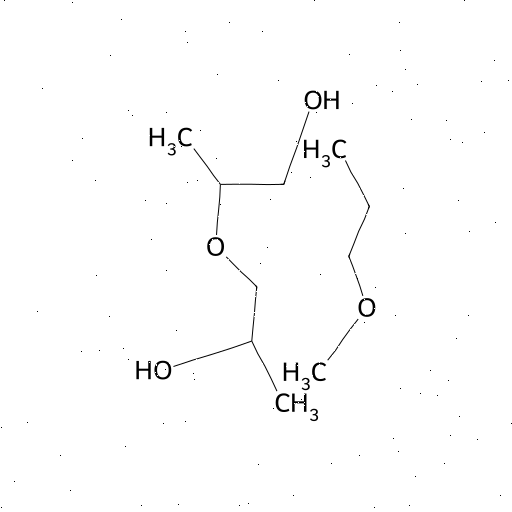 CC(O)COC(C)CO.CCCOC